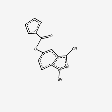 CC(C)n1nc(C#N)c2cc(OC(=O)c3cccs3)ccc21